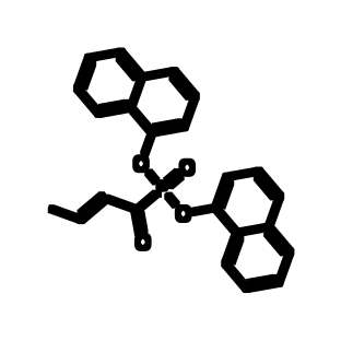 CC=CC(=O)P(=O)(Oc1cccc2ccccc12)Oc1cccc2ccccc12